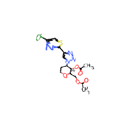 CC(=O)OCC1OCCC(n2cc(-c3nc(Cl)cs3)nn2)[C@H]1OC(C)=O